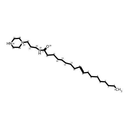 CCCCCCCCC=CCCCCCCCC(=O)NCCCN1CCNCC1